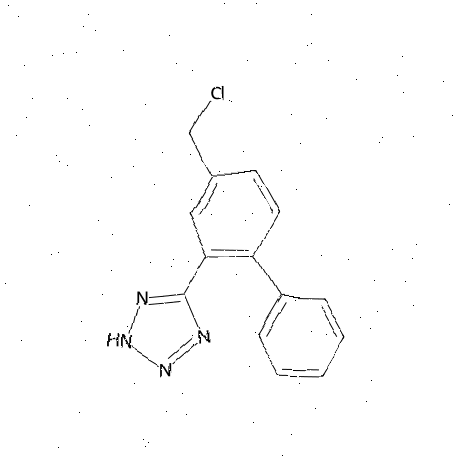 ClCc1ccc(-c2ccccc2)c(-c2nn[nH]n2)c1